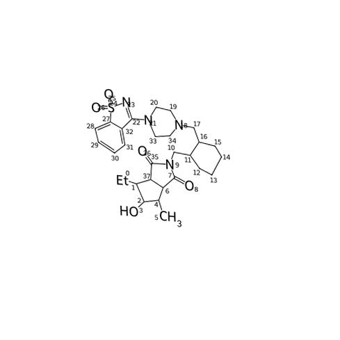 CCC1C(O)C(C)C2C(=O)N(CC3CCCCC3CN3CCN(C4=NS(=O)(=O)c5ccccc54)CC3)C(=O)C12